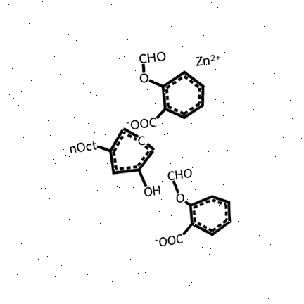 CCCCCCCCc1cccc(O)c1.O=COc1ccccc1C(=O)[O-].O=COc1ccccc1C(=O)[O-].[Zn+2]